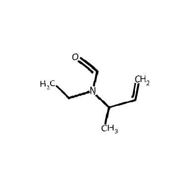 C=CC(C)N(C=O)CC